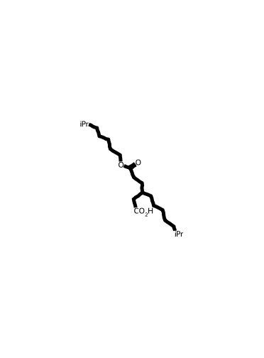 CC(C)CCCCCOC(=O)CCC(CCCCCC(C)C)CC(=O)O